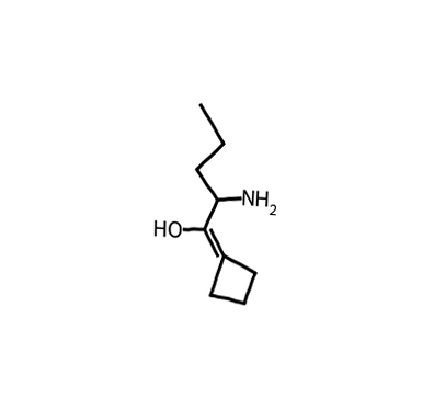 CCCC(N)C(O)=C1CCC1